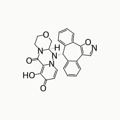 O=C1c2c(O)c(=O)ccn2N([C@H]2c3ccccc3-c3cnoc3-c3ccccc32)[C@@H]2COCCN12